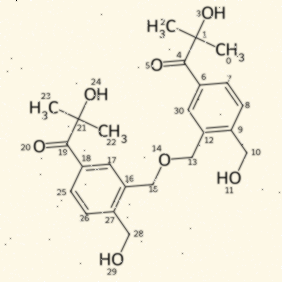 CC(C)(O)C(=O)c1ccc(CO)c(COCc2cc(C(=O)C(C)(C)O)ccc2CO)c1